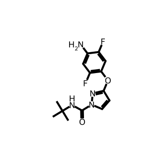 CC(C)(C)NC(=O)n1ccc(Oc2cc(F)c(N)cc2F)n1